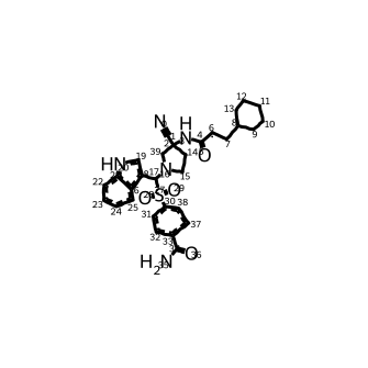 N#CC1(NC(=O)[CH]CC2CCCCC2)CCN(C(c2c[nH]c3ccccc23)S(=O)(=O)c2ccc(C(N)=O)cc2)C1